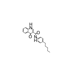 CCCCCc1ccc(NC(=O)c2c[nH]c3ccccc3c2=O)cc1